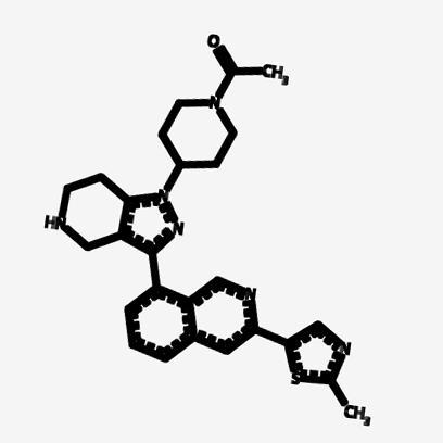 CC(=O)N1CCC(n2nc(-c3cccc4cc(-c5cnc(C)s5)ncc34)c3c2CCNC3)CC1